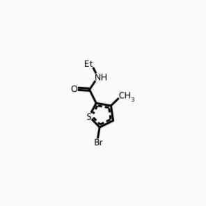 CCNC(=O)c1sc(Br)cc1C